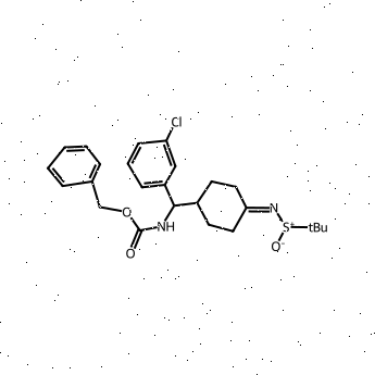 CC(C)(C)[S+]([O-])N=C1CCC(C(NC(=O)OCc2ccccc2)c2cccc(Cl)c2)CC1